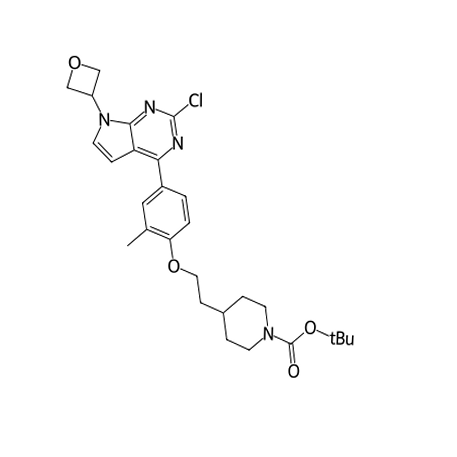 Cc1cc(-c2nc(Cl)nc3c2ccn3C2COC2)ccc1OCCC1CCN(C(=O)OC(C)(C)C)CC1